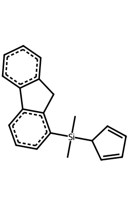 C[Si](C)(c1cccc2c1Cc1ccccc1-2)C1C=CC=C1